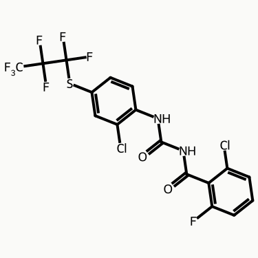 O=C(NC(=O)c1c(F)cccc1Cl)Nc1ccc(SC(F)(F)C(F)(F)C(F)(F)F)cc1Cl